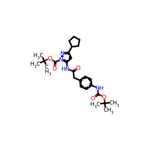 CC(C)(C)OC(=O)Nc1ccc(CC(=O)Nc2cc(C3CCCC3)nn2C(=O)OC(C)(C)C)cc1